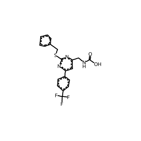 O=C(O)NCc1cc(-c2ccc(C(F)(F)F)cc2)nc(SCc2ccccc2)n1